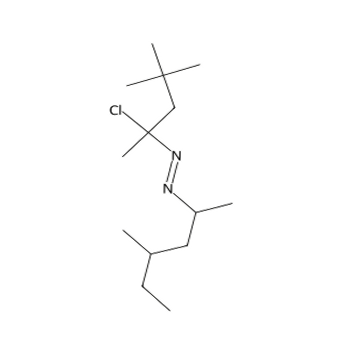 CCC(C)CC(C)N=NC(C)(Cl)CC(C)(C)C